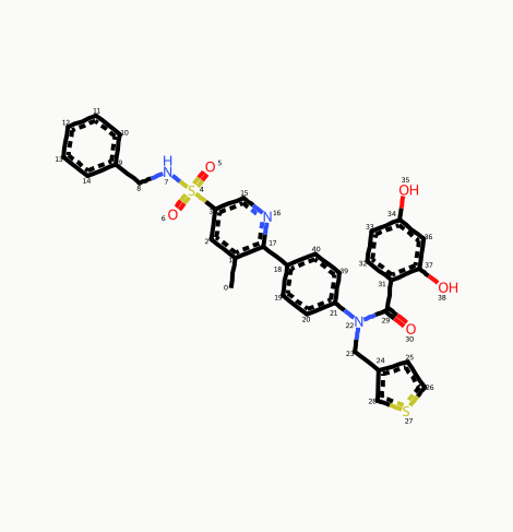 Cc1cc(S(=O)(=O)NCc2ccccc2)cnc1-c1ccc(N(Cc2ccsc2)C(=O)c2ccc(O)cc2O)cc1